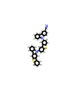 N#Cc1ccc2c(c1)c1ccccc1n2-c1ccc2sc3ccc(-n4c5ccccc5c5cc6sc7ccccc7c6cc54)cc3c2c1